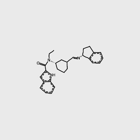 CCN(C(=O)c1cc2ccccc2[nH]1)[C@H]1CCCC(/C=N/[C@@H]2CCc3ccccc32)C1